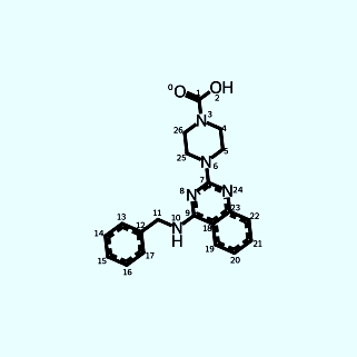 O=C(O)N1CCN(c2nc(NCc3ccccc3)c3ccccc3n2)CC1